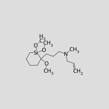 C=CCN(C)CCCC1(OC)CCCC[Si]1(OC)OC